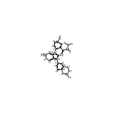 CC(C)N(C)C(=O)c1cc(F)ccc1-n1cc(-c2ccc3c(c2)CCN(C)C3)c2c1=CNCC=2